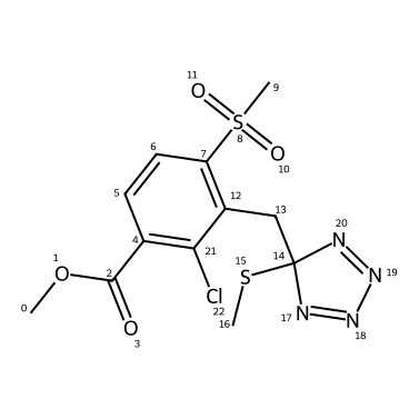 COC(=O)c1ccc(S(C)(=O)=O)c(CC2(SC)N=NN=N2)c1Cl